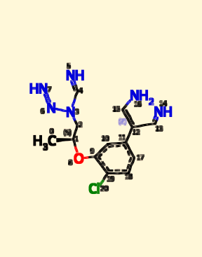 C[C@@H](CN(C=N)N=N)Oc1cc(/C(C=N)=C/N)ccc1Cl